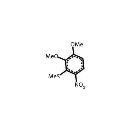 COc1ccc([N+](=O)[O-])c(SC)c1OC